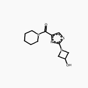 O=C(c1csc(N2CC(O)C2)n1)N1CCCCC1